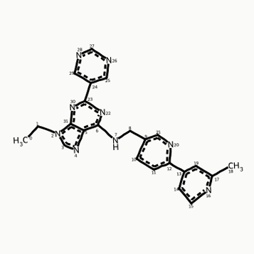 CCn1cnc2c(NCc3ccc(-c4ccnc(C)c4)nc3)nc(-c3cncnc3)nc21